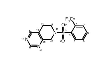 O=S(=O)(c1ccccc1C(F)(F)F)N1CCc2[c]ncnc2C1